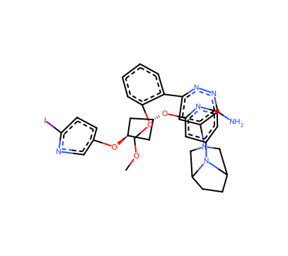 COCOc1ccccc1-c1cc(N2CC3CCC(C2)N3c2ccnc(O[C@H]3C[C@H](Oc4ccc(I)nc4)C3)c2)c(N)nn1